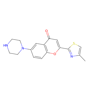 Cc1csc(-c2cc(=O)c3cc(N4CCNCC4)ccc3o2)n1